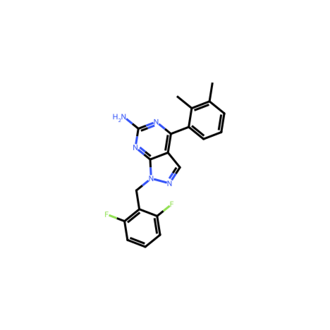 Cc1cccc(-c2nc(N)nc3c2cnn3Cc2c(F)cccc2F)c1C